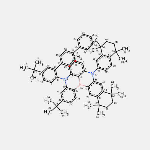 Cc1cc2c3c(c1)N(c1ccc(C(C)(C)C)cc1-c1ccc(-c4ccccc4)cc1)c1cc(C(C)(C)C)ccc1B3c1cc3c(cc1N2c1ccc2c(c1)C(C)(C)CCC2(C)C)C(C)(C)CCC3(C)C